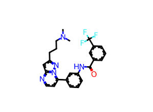 CN(C)CCCc1cc2nccc(-c3cccc(NC(=O)c4cccc(C(F)(F)F)c4)c3)n2n1